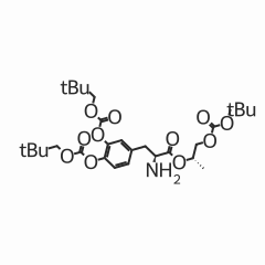 C[C@@H](COC(=O)OC(C)(C)C)OC(=O)[C@@H](N)Cc1ccc(OC(=O)OCC(C)(C)C)c(OC(=O)OCC(C)(C)C)c1